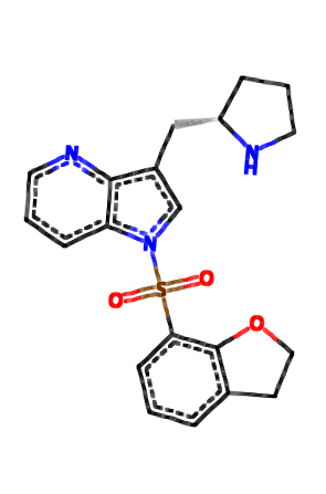 O=S(=O)(c1cccc2c1OCC2)n1cc(C[C@@H]2CCCN2)c2ncccc21